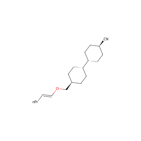 CCCC=COC[C@H]1CC[C@H]([C@H]2CC[C@H](C#N)CC2)CC1